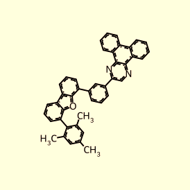 Cc1cc(C)c(-c2cccc3c2oc2c(-c4cccc(-c5cnc6c7ccccc7c7ccccc7c6n5)c4)cccc23)c(C)c1